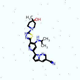 CC(C)Nc1cc(-c2ccc3cc(C#N)cnn23)ncc1-c1nnc(N2CCC(C)(O)CC2)s1